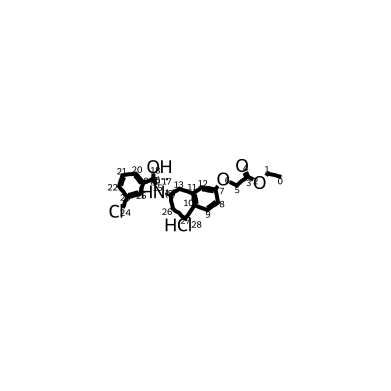 CCOC(=O)COc1ccc2c(c1)C[C@@H](N[C@](C)(O)c1cccc(Cl)c1)CC2.Cl